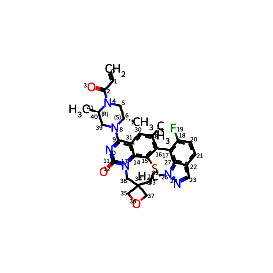 C=CC(=O)N1C[C@H](C)N(c2nc(=O)n3c4c(c(-c5c(F)ccc6cnn(C)c56)c(C)cc24)SCC2(COC2)C3)C[C@H]1C